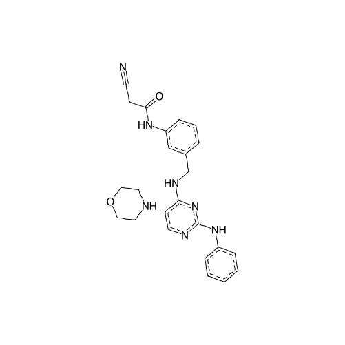 C1COCCN1.N#CCC(=O)Nc1cccc(CNc2ccnc(Nc3ccccc3)n2)c1